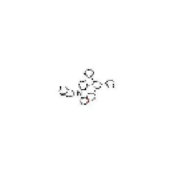 c1ccc(-c2cc(-c3ccccc3)c(-c3cccc(N(c4ccccc4)c4ccc5ccccc5c4)c3)c(-c3ccccc3)c2)cc1